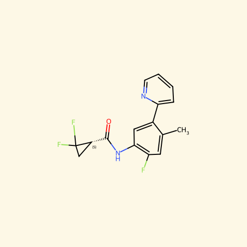 Cc1cc(F)c(NC(=O)[C@@H]2CC2(F)F)cc1-c1ccccn1